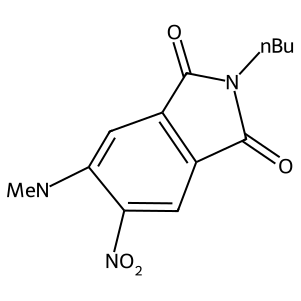 CCCCN1C(=O)c2cc(NC)c([N+](=O)[O-])cc2C1=O